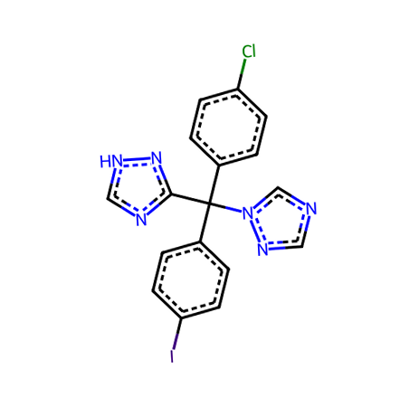 Clc1ccc(C(c2ccc(I)cc2)(c2nc[nH]n2)n2cncn2)cc1